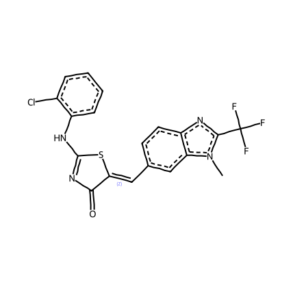 Cn1c(C(F)(F)F)nc2ccc(/C=C3\SC(Nc4ccccc4Cl)=NC3=O)cc21